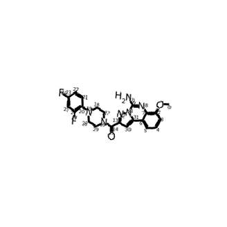 COc1cccc2c1nc(N)n1nc(C(=O)N3CCN(c4ccc(F)cc4F)CC3)cc21